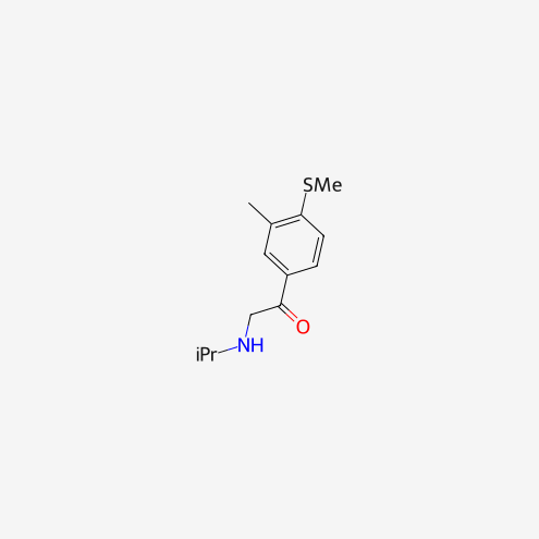 CSc1ccc(C(=O)CNC(C)C)cc1C